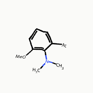 COc1cccc(C(C)=O)c1N(C)C